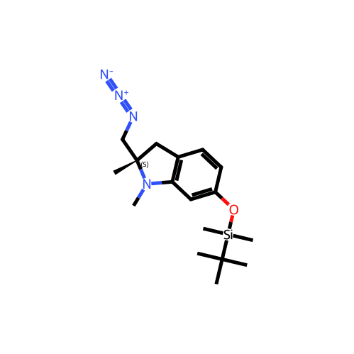 CN1c2cc(O[Si](C)(C)C(C)(C)C)ccc2C[C@@]1(C)CN=[N+]=[N-]